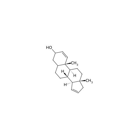 C[C@@]12CC=C[C@H]1[C@@H]1CCC3CC(O)C=C[C@]3(C)[C@H]1CC2